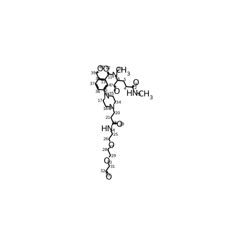 CNC(=O)CCC(C=O)N(C)C(=O)c1cc(N2CCN(CCC(=O)NCCOCCOCC=O)CC2)ccc1C=O